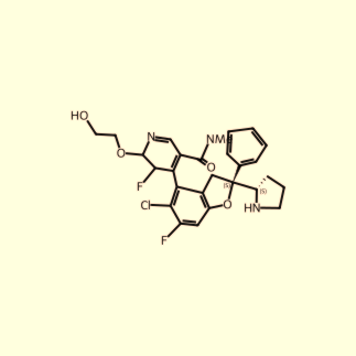 CNC(=O)C1=C(c2c(Cl)c(F)cc3c2C[C@](c2ccccc2)([C@@H]2CCCN2)O3)C(F)C(OCCO)N=C1